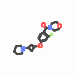 O=C(c1ccc(OC2CC(N3CCCCC3)C2)cc1F)N1CCOCC1